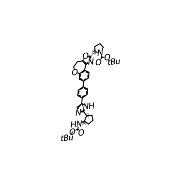 CC(C)(C)OC(=O)N[C@@H]1CCC[C@@H]1c1ncc(-c2ccc(-c3ccc4c(c3)OCCc3oc([C@@H]5CCCN5C(=O)OC(C)(C)C)nc3-4)cc2)[nH]1